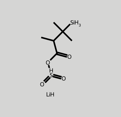 CC(C(=O)O[SH](=O)=O)C(C)(C)[SiH3].[LiH]